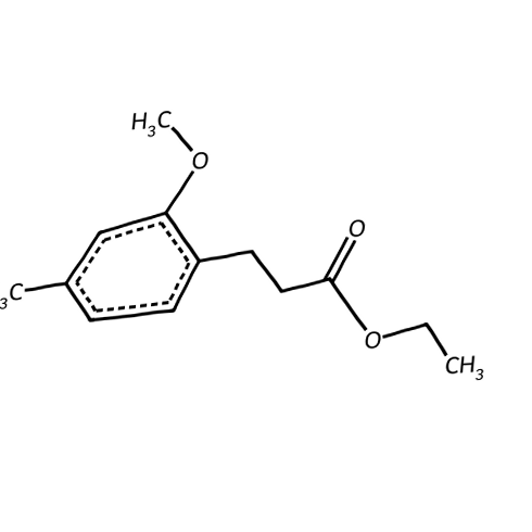 CCOC(=O)CCc1ccc(C)cc1OC